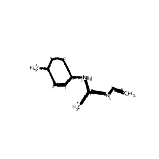 C=C/N=C(/C)NC1CCC(C)CC1